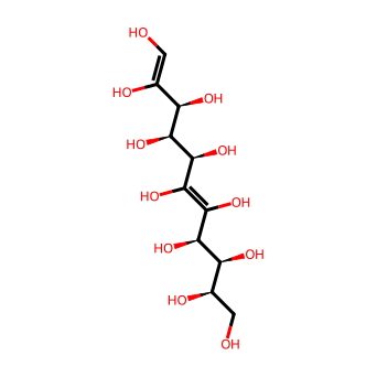 O/C=C(\O)[C@@H](O)[C@H](O)[C@@H](O)/C(O)=C(\O)[C@H](O)[C@@H](O)[C@H](O)CO